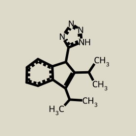 CC(C)C1=C(C(C)C)C(c2nnn[nH]2)c2ccccc21